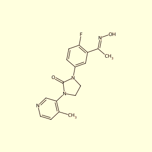 CC(=NO)c1cc(N2CCN(c3cnccc3C)C2=O)ccc1F